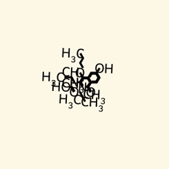 CCCCOc1c(N(CC(C)(C)C)C(=O)O)n(CC(C)(C)C)c(=O)c2ccc(O)cc12